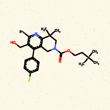 CC(C)c1nc2c(c(-c3ccc(F)cc3)c1CO)CN(C(=O)OCC[Si](C)(C)C)CC2(C)C